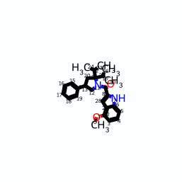 COc1cccc2[nH]c(C(=O)N3CC(c4ccccc4)CC3(C(C)C)C(C)C)cc12